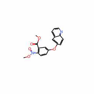 COC(=O)c1cc(Oc2ccc3ncccc3c2)ccc1[N+](=O)OC